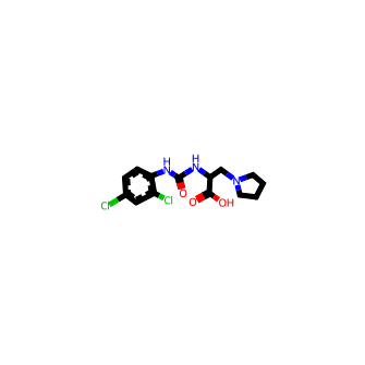 O=C(Nc1ccc(Cl)cc1Cl)NC(CN1CCCC1)C(=O)O